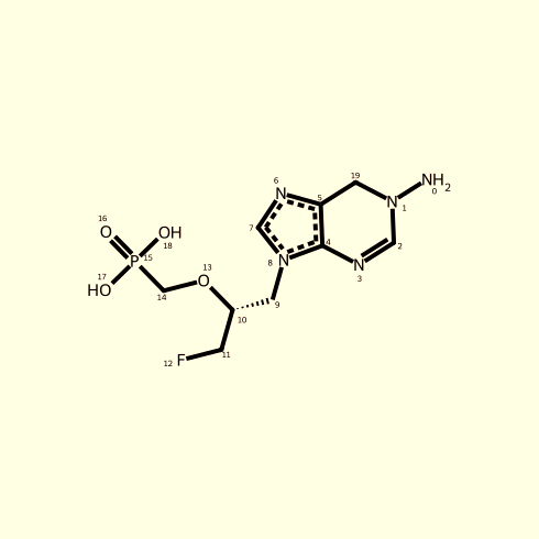 NN1C=Nc2c(ncn2C[C@H](CF)OCP(=O)(O)O)C1